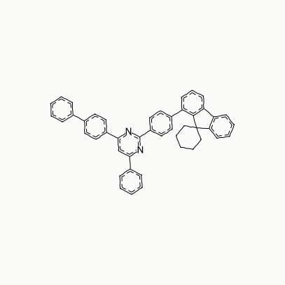 c1ccc(-c2ccc(-c3cc(-c4ccccc4)nc(-c4ccc(-c5cccc6c5C5(CCCCC5)c5ccccc5-6)cc4)n3)cc2)cc1